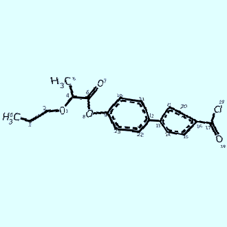 CCCOC(C)C(=O)Oc1ccc(-c2ccc(C(=O)Cl)cc2)cc1